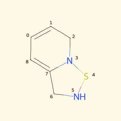 C1=CCN2SNCC2=C1